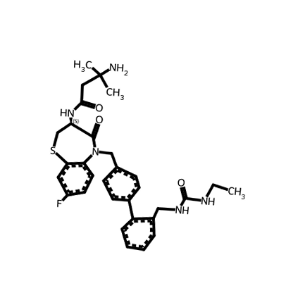 CCNC(=O)NCc1ccccc1-c1ccc(CN2C(=O)[C@H](NC(=O)CC(C)(C)N)CSc3cc(F)ccc32)cc1